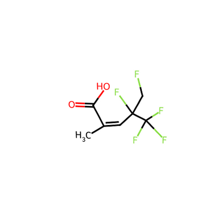 CC(=CC(F)(CF)C(F)(F)F)C(=O)O